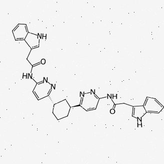 O=C(Cc1c[nH]c2ccccc12)Nc1ccc([C@H]2CCC[C@H](c3ccc(NC(=O)Cc4c[nH]c5ccccc45)nn3)C2)nn1